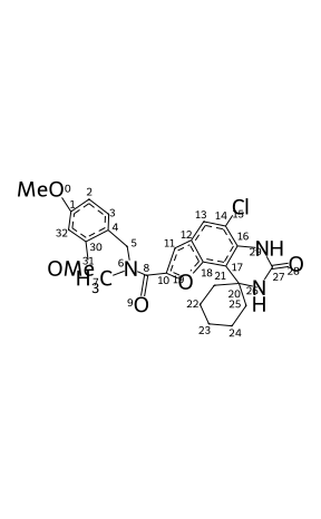 COc1ccc(CN(C)C(=O)c2cc3cc(Cl)c4c(c3o2)C2(CCCCC2)NC(=O)N4)c(OC)c1